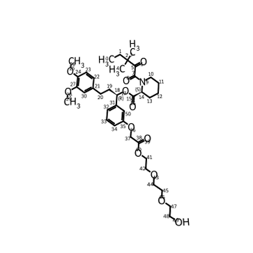 CCC(C)(C)C(=O)C(=O)N1CCCC[C@H]1C(=O)O[C@H](CCc1ccc(OC)c(OC)c1)c1cccc(OCC(=O)OCCOCCOCCO)c1